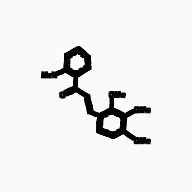 CNc1ccccc1C(=O)C=Cc1ccc(OC)c(OC)c1OC